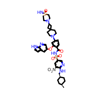 C[C@H]1CC[C@@H](CNc2ncc(S(=O)(=O)NC(=O)c3ccc(N4CCC5(CC4)CC(N4CCS(=N)(=O)CC4)C5)cc3Oc3cnc4[nH]ccc4c3)cc2[N+](=O)[O-])CC1